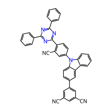 N#Cc1cc(C#N)cc(-c2ccc3c(c2)c2ccccc2n3-c2ccc(-c3nc(-c4ccccc4)nc(-c4ccccc4)n3)c(C#N)c2)c1